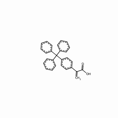 C=C(C(=O)O)c1ccc(C(c2ccccc2)(c2ccccc2)c2ccccc2)cc1